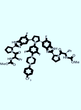 COC(=O)NC(C(=O)N1CCC[C@H]1c1nc2cc([C@H]3CC[C@H](c4cc5nc([C@@H]6CCCN6C(=O)[C@@H](NC(=O)OC)C(C)C)[nH]c5cc4F)N3c3cc(F)c(N4CCN(c5ccc(C(F)(F)F)cc5)CC4)c(F)c3)c(F)cc2[nH]1)C(C)C